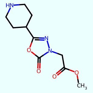 COC(=O)Cn1nc(C2CCNCC2)oc1=O